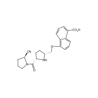 N#C[C@@H]1CCCN1C(=O)[C@@H]1CC[C@H](COc2cccc3c(C(=O)O)cccc23)N1